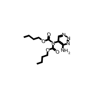 CCCCOC(=O)N(C(=O)OCCCC)c1cnnnc1N